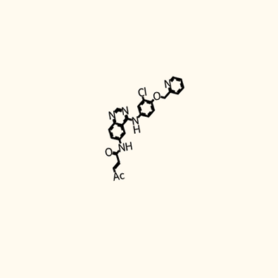 CC(=O)C=CC(=O)Nc1ccc2ncnc(Nc3ccc(OCc4ccccn4)c(Cl)c3)c2c1